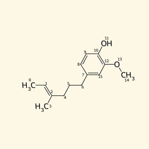 CC=C(C)CCCc1ccc(O)c(OC)c1